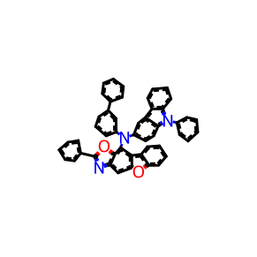 c1ccc(-c2cccc(N(c3ccc4c(c3)c3ccccc3n4-c3ccccc3)c3c4oc(-c5ccccc5)nc4cc4oc5ccccc5c34)c2)cc1